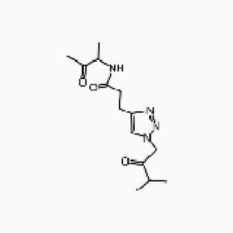 CC(=O)C(C)NC(=O)CCc1cn(CC(=O)C(C)C)nn1